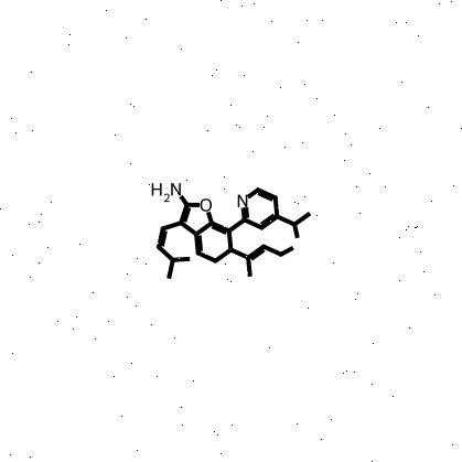 CCC=C(C)C1CC=c2c(/C=C\C(C)C)c(N)oc2=C1c1cc(C(C)C)ccn1